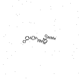 CNC(=O)c1ccnc(NCCCN2CCN(c3cccc(Cl)c3)CC2)n1